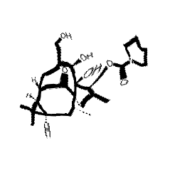 CC1=C[C@]23C(=O)[C@@H](C=C(CO)[C@@H](O)[C@]2(O)[C@H]1OC(=O)N1CCCC1)[C@H]1[C@@H](C[C@H]3C)C1(C)C